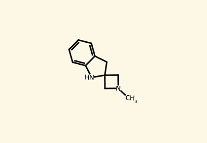 CN1CC2(Cc3ccccc3N2)C1